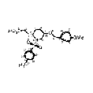 COc1ccc(CO[C@@H]2CC[C@@H](CCC(=O)O)N(S(=O)(=O)c3ccc(C)cc3)C2)cc1